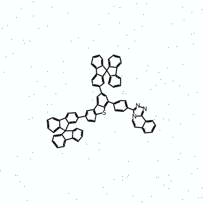 c1ccc2c(c1)-c1ccccc1C21c2ccccc2-c2ccc(-c3ccc4sc5c(-c6ccc(-c7nnc8c9ccccc9ccn78)cc6)cc(-c6ccc7c(c6)C6(c8ccccc8-c8ccccc86)c6ccccc6-7)cc5c4c3)cc21